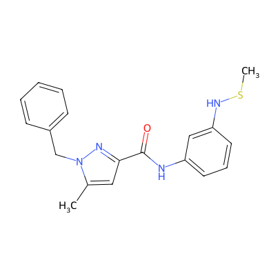 CSNc1cccc(NC(=O)c2cc(C)n(Cc3ccccc3)n2)c1